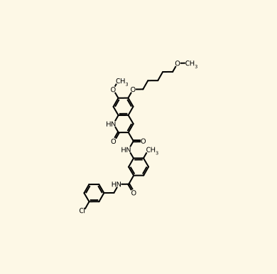 COCCCCCOc1cc2cc(C(=O)Nc3cc(C(=O)NCc4cccc(Cl)c4)ccc3C)c(=O)[nH]c2cc1OC